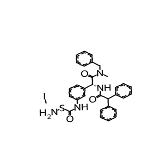 CI.CN(Cc1ccccc1)C(=O)[C@H](NC(=O)C(c1ccccc1)c1ccccc1)c1cccc(NC(=O)SN)c1